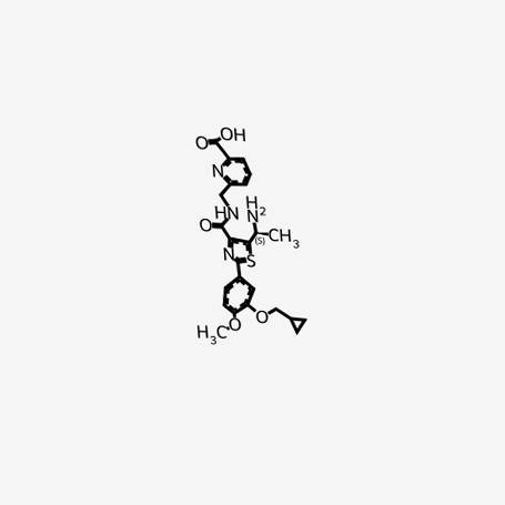 COc1ccc(-c2nc(C(=O)NCc3cccc(C(=O)O)n3)c([C@H](C)N)s2)cc1OCC1CC1